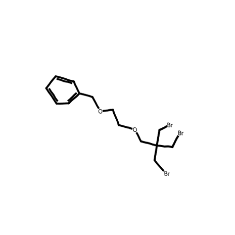 BrCC(CBr)(CBr)COCCOCc1ccccc1